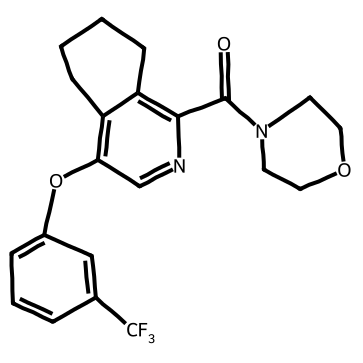 O=C(c1ncc(Oc2cccc(C(F)(F)F)c2)c2c1CCCC2)N1CCOCC1